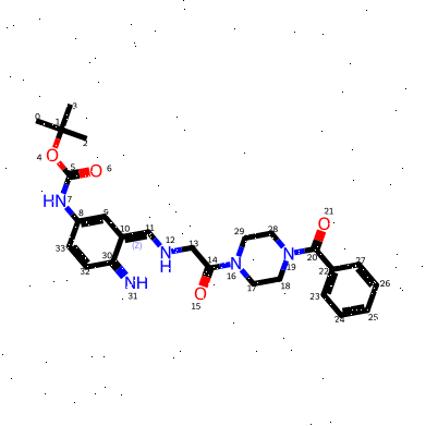 CC(C)(C)OC(=O)NC1=C/C(=C/NCC(=O)N2CCN(C(=O)c3ccccc3)CC2)C(=N)C=C1